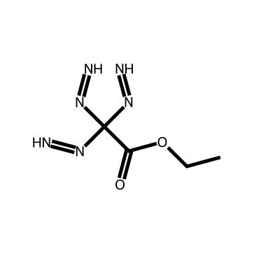 CCOC(=O)C(N=N)(N=N)N=N